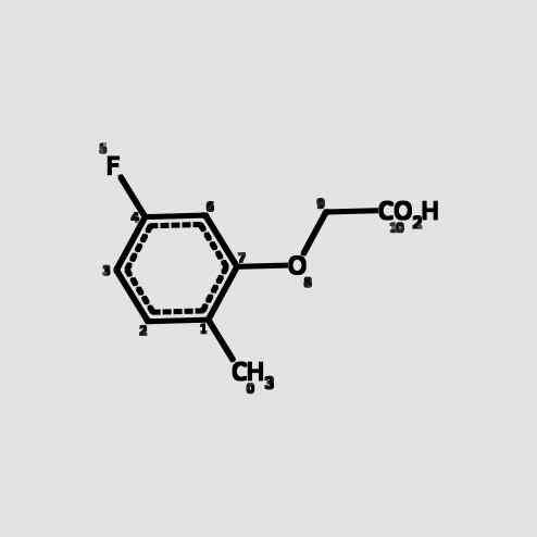 Cc1ccc(F)cc1OCC(=O)O